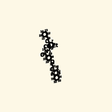 CCOC(=O)CN(Cc1cccc(OCc2ccccc2)c1)C(=O)c1ccc(OCCOc2nc3ccccc3nc2C)cc1